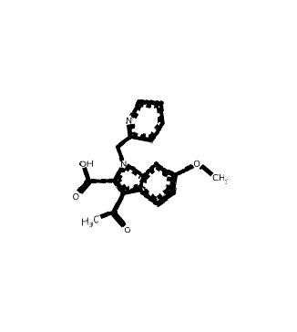 COc1ccc2c(C(C)=O)c(C(=O)O)n(Cc3ccccn3)c2c1